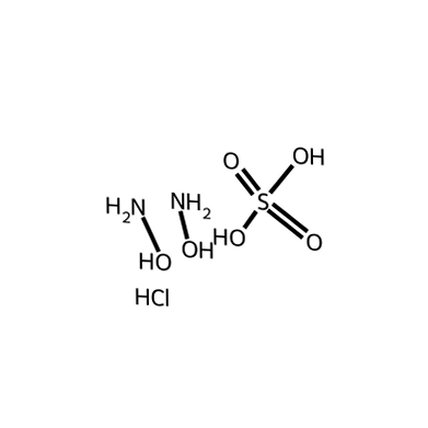 Cl.NO.NO.O=S(=O)(O)O